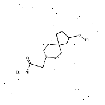 CCNC(=O)CN1CCC2(CCC(OC(C)C)C2)CC1